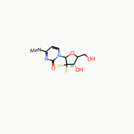 CNc1ccn(C2OC(CO)[C@H](O)C2(F)F)c(=O)n1